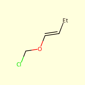 CCC=COCCl